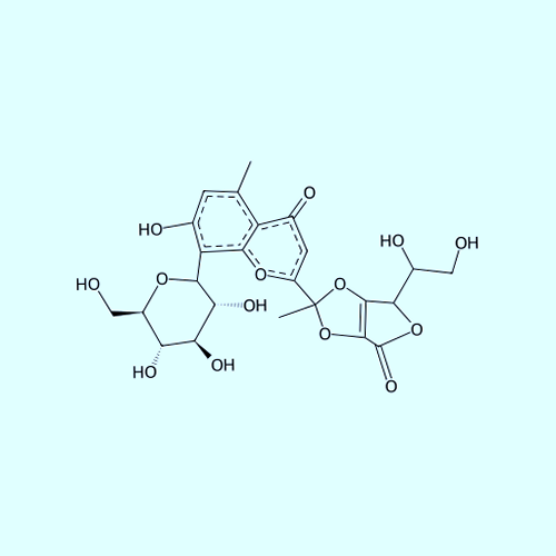 Cc1cc(O)c(C2O[C@H](CO)[C@@H](O)[C@H](O)[C@H]2O)c2oc(C3(C)OC4=C(O3)C(C(O)CO)OC4=O)cc(=O)c12